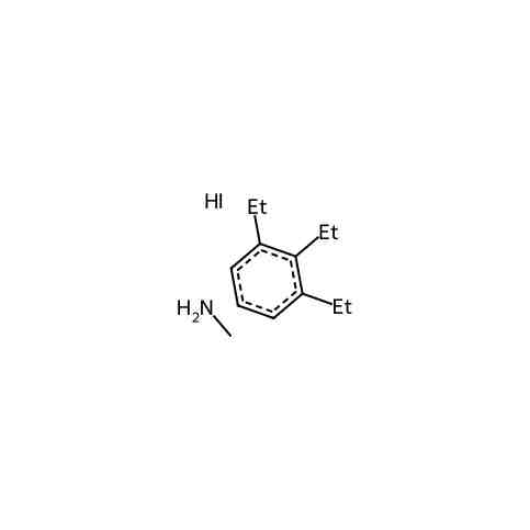 CCc1cccc(CC)c1CC.CN.I